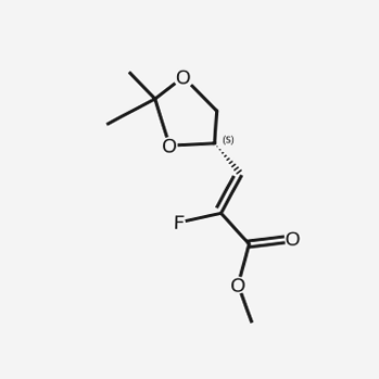 COC(=O)C(F)=C[C@H]1COC(C)(C)O1